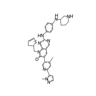 Cc1cc(-c2ccnn2C)ncc1-c1cc2cnc(Nc3ccc(NC4CCCNC4)cc3)nc2n(CC2CC=CS2)c1=O